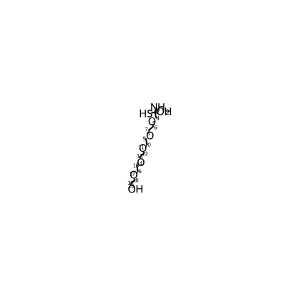 NC(O)(S)COCCOCCOCCOCCOCCO